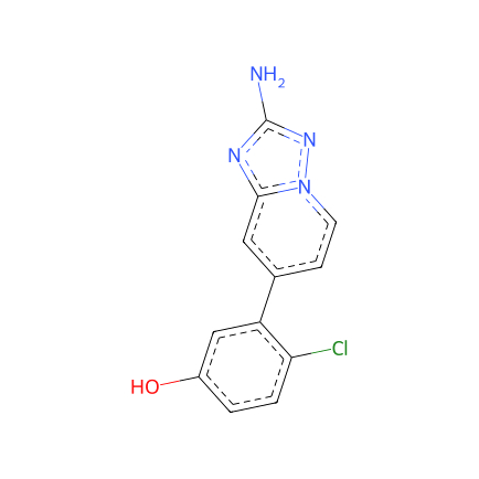 Nc1nc2cc(-c3cc(O)ccc3Cl)ccn2n1